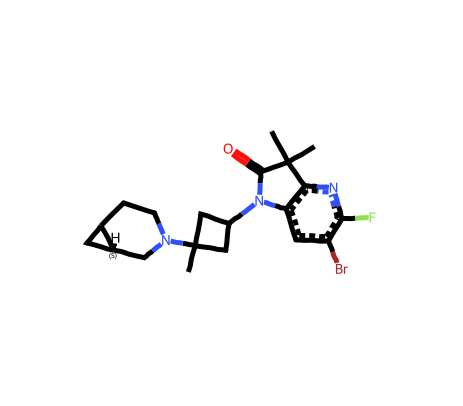 CC1(C)C(=O)N(C2CC(C)(N3CCC4C[C@@H]4C3)C2)c2cc(Br)c(F)nc21